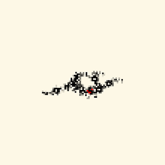 COc1ccc(COc2cc(CO/N=C(\C(=O)N[C@@H]3C(=O)N4C(C(=O)O)=C(C[N+]56CCC(CC5)N(C(=O)c5ccc(OCc7ccc(OC)cc7)c(OCc7ccc(OC)cc7)c5Cl)CC6)CS[C@H]34)c3csc(C)n3)on2)cc1